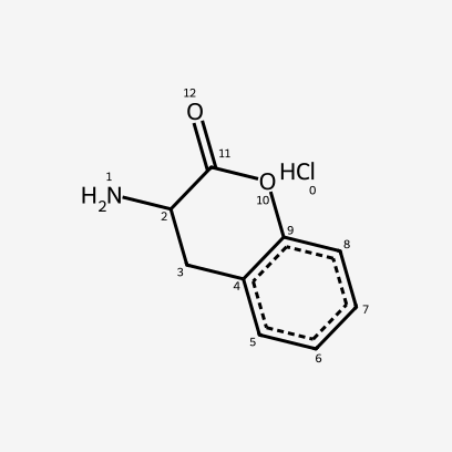 Cl.NC1Cc2ccccc2OC1=O